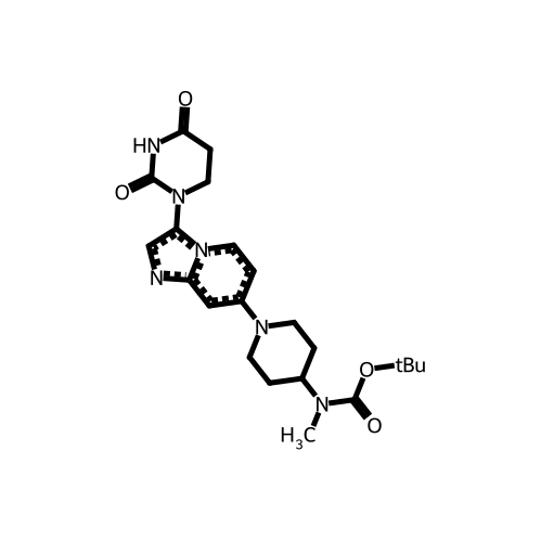 CN(C(=O)OC(C)(C)C)C1CCN(c2ccn3c(N4CCC(=O)NC4=O)cnc3c2)CC1